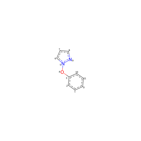 c1ccc(On2cccn2)cc1